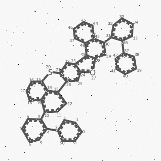 c1ccc(-c2ccccc2-c2ccc3c4c(cccc24)Sc2cc4c(cc2-3)oc2cc(-c3ccccc3-c3ccccc3)c3ccccc3c24)cc1